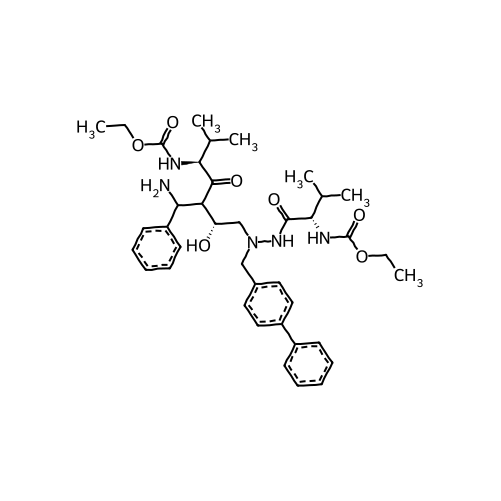 CCOC(=O)N[C@H](C(=O)NN(Cc1ccc(-c2ccccc2)cc1)C[C@H](O)C(C(=O)[C@@H](NC(=O)OCC)C(C)C)C(N)c1ccccc1)C(C)C